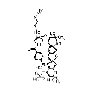 CC1(C)C=C(CS(=O)(=O)O)c2cc3c(cc2=N1)Oc1cc2c(cc1C=3c1cc(C(=O)NCCCCCCN=[N+]=[N-])ccc1C(=O)O)C(CS(=O)(=O)O)=CC(C)(C)N2